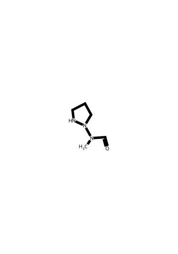 CN([C]=O)N1CCCN1